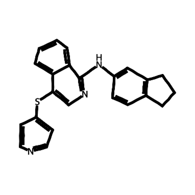 c1ccc2c(Nc3ccc4c(c3)CCC4)ncc(Sc3ccncc3)c2c1